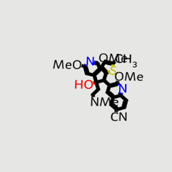 CNCCC(O)(c1cc(OC)nc(OC)c1)C(c1ccc(C)s1)c1cc2cc(C#N)ccc2nc1OC